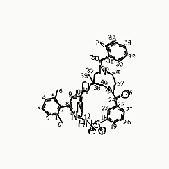 Cc1cccc(C)c1-c1cc2nc(n1)NS(=O)(=O)c1cccc(c1)C(=O)N1CCN(Cc3ccccc3)CC(C)(C1)O2